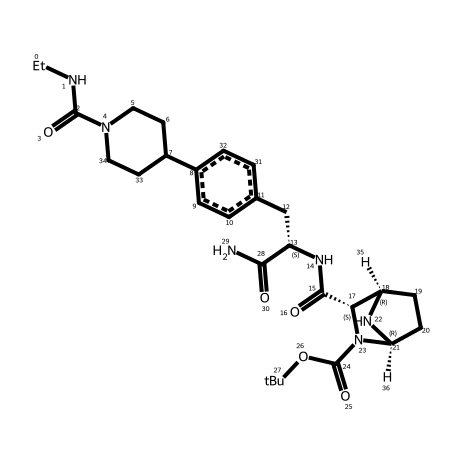 CCNC(=O)N1CCC(c2ccc(C[C@H](NC(=O)[C@@H]3[C@H]4CC[C@H](N4)N3C(=O)OC(C)(C)C)C(N)=O)cc2)CC1